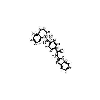 O=C(Nc1nc2ccccc2s1)c1ccc(S(=O)(=O)N2CCCc3ccccc32)cc1